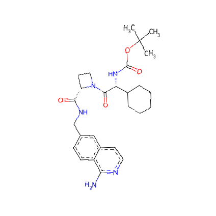 CC(C)(C)OC(=O)N[C@@H](C(=O)N1CC[C@H]1C(=O)NCc1ccc2c(N)nccc2c1)C1CCCCC1